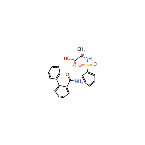 C[C@H](NS(=O)(=O)c1ccccc1)C(=O)O.NC(=O)c1ccccc1-c1ccccc1